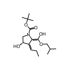 CC/C=C1\C(=C(\O)OCC(C)C)N(C(=O)OC(C)(C)C)C[C@@H]1O